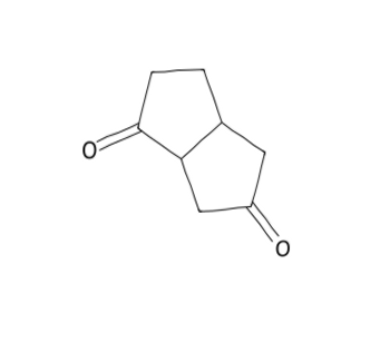 O=C1CC2CCC(=O)C2C1